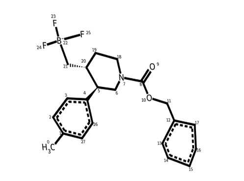 Cc1ccc([C@@H]2CN(C(=O)OCc3ccccc3)CC[C@H]2C[B-](F)(F)F)cc1